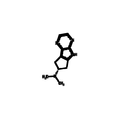 CN(C)[C@H]1Cc2[nH]c3nccnc3c2C1